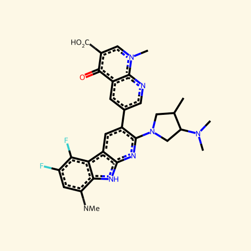 CNc1cc(F)c(F)c2c1[nH]c1nc(N3CC(C)C(N(C)C)C3)c(-c3cnc4c(c3)c(=O)c(C(=O)O)cn4C)cc12